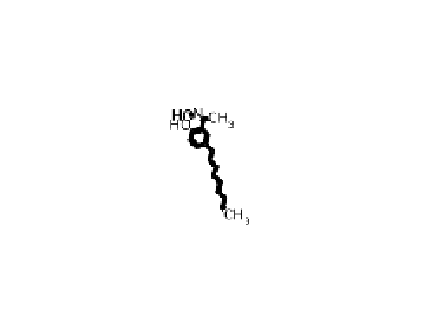 CCCCCCCCCc1ccc(O)c(/C(C)=N\O)c1